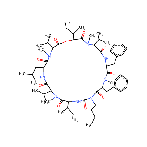 CCCCN1C(=O)NC(C(C)CC)C(=O)N(C)C(C(C)C)C(=O)NC(CC(C)C)C(=O)N(C)C(C(C)C)C(=O)OC(C(C)CC)C(=O)N(C)C(C(C)C)C(=O)NC(Cc2ccccc2)C(=O)N(C)C(Cc2ccccc2)C1=O